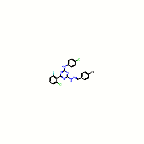 CCc1ccc(C=NNc2nc(Nc3ccc(Cl)cc3)nc(-c3c(F)cccc3Cl)n2)cc1